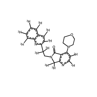 [2H]c1nc2c(c(N3CCOCC3)c1[2H])C(=O)N(CC([2H])([2H])c1nc3c([2H])c([2H])c([2H])c([2H])c3c([2H])c1[2H])C2([2H])[2H]